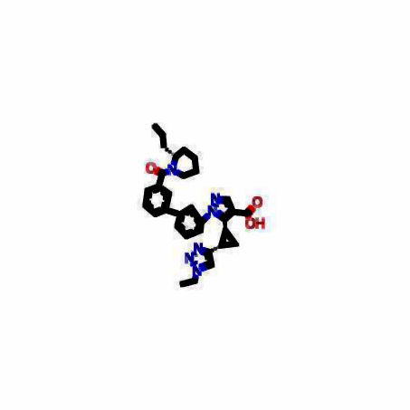 CCC[C@@H]1CCCCN1C(=O)c1cccc(-c2cccc(-n3ncc(C(=O)O)c3[C@H]3C[C@@H]3c3cn(CC)nn3)c2)c1